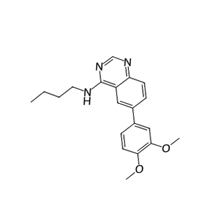 CCCCNc1ncnc2ccc(-c3ccc(OC)c(OC)c3)cc12